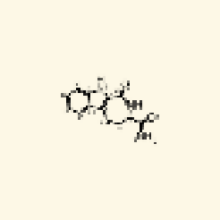 NC(=O)C1CSc2c([nH]c3ccccc23)C(=O)N1